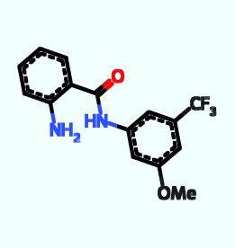 COc1cc(NC(=O)c2ccccc2N)cc(C(F)(F)F)c1